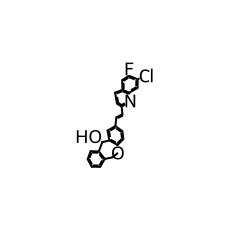 OC1c2ccccc2COc2ccc(/C=C/c3ccc4cc(F)c(Cl)cc4n3)cc21